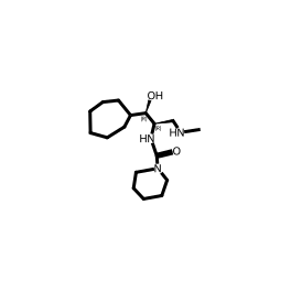 CNC[C@@H](NC(=O)N1CCCCC1)[C@H](O)C1CCCCCC1